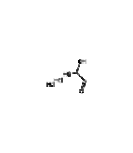 Cl.Cl.O=CC(O)O